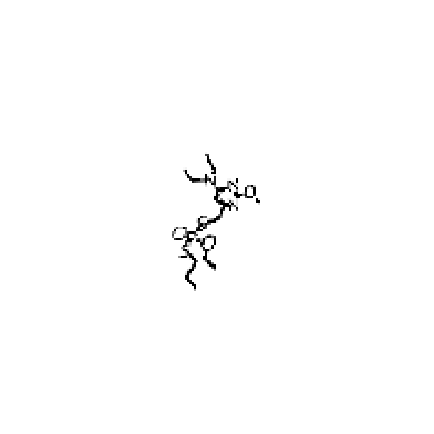 CCCSP(=O)(OCC)SCc1cc(N(CC)CC)nc(OC)n1